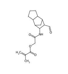 C=C(C)C(=O)OCC(=O)NC1C(C=O)C2CC1C1CCCC21